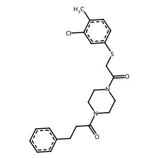 Cc1ccc(SCC(=O)N2CCN(C(=O)CCc3ccccc3)CC2)cc1Cl